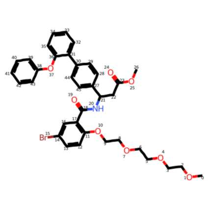 COCCOCCOCCOc1ccc(Br)cc1C(=O)NC(CC(=O)OC)c1ccc(-c2ccccc2Oc2ccccc2)cc1